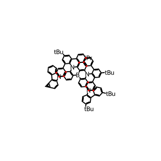 CC(C)c1cc2c3c(c1)N(c1c(-c4ccccc4)cc(C(C)(C)C)cc1-c1ccccc1)c1cc(-n4c5ccccc5c5c6c(ccc54)=C=6)ccc1B3c1ccc(-n3c4ccc(C(C)(C)C)cc4c4cc(C(C)(C)C)ccc43)cc1N2c1c(-c2ccccc2)cc(C(C)(C)C)cc1-c1ccccc1